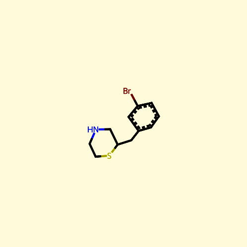 Brc1cccc(CC2CNCCS2)c1